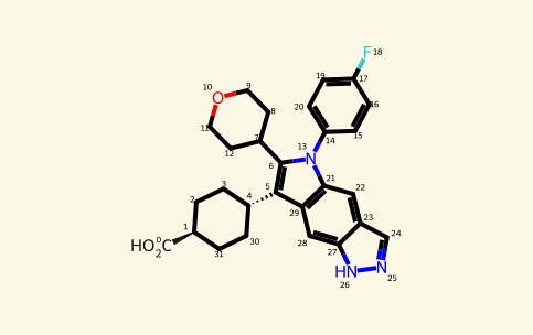 O=C(O)[C@H]1CC[C@H](c2c(C3CCOCC3)n(-c3ccc(F)cc3)c3cc4cn[nH]c4cc32)CC1